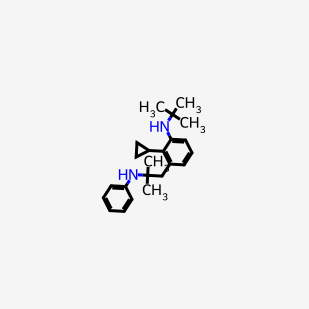 CC(C)(C)Nc1cccc(CC(C)(C)Nc2ccccc2)c1C1CC1